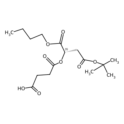 CCCCOC(=O)[C@H](CC(=O)OC(C)(C)C)OC(=O)CCC(=O)O